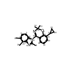 Cc1ccc2c(nc(C)n2C2=NC(C)(C)Oc3c2cccc3C2CC2)c1C